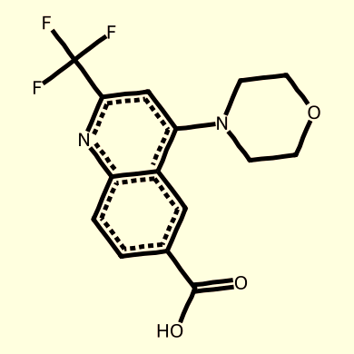 O=C(O)c1ccc2nc(C(F)(F)F)cc(N3CCOCC3)c2c1